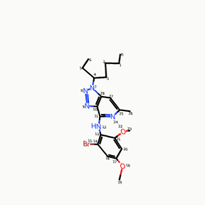 CCCCC(CC)n1nnc2c(Nc3c(Br)cc(OC)cc3OC)nc(C)cc21